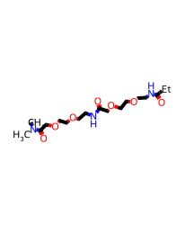 CCC(=O)NCCOCCOCC(=O)NCCOCCOCC(=O)N(C)C